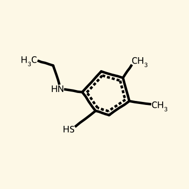 CCNc1cc(C)c(C)cc1S